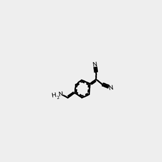 N#CC(C#N)=c1ccc(=CN)cc1